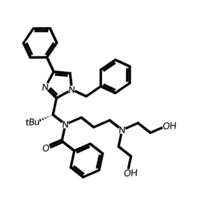 CC(C)(C)[C@H](c1nc(-c2ccccc2)cn1Cc1ccccc1)N(CCCN(CCO)CCO)C(=O)c1ccccc1